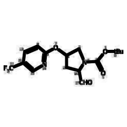 CC(C)(C)OC(=O)N1CC(Oc2ccc(C(F)(F)F)cn2)CC1C=O